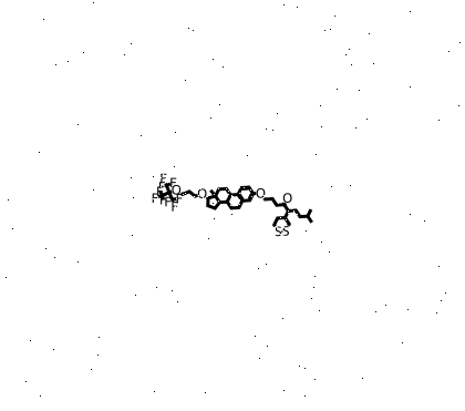 CC(C)CCC(C(=O)CCCOc1ccc2c(c1)CCC1C2CCC2(C)C(OCCCOC(C(F)(F)F)(C(F)(F)F)C(F)(F)F)CCC12)C1CCSSC1